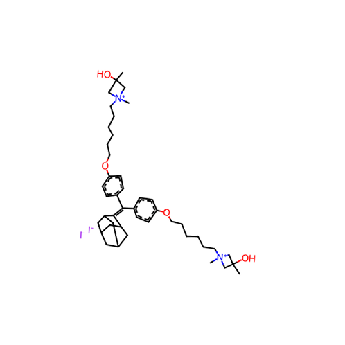 CC1(O)C[N+](C)(CCCCCCOc2ccc(C(=C3C4CC5CC(C4)CC3C5)c3ccc(OCCCCCC[N+]4(C)CC(C)(O)C4)cc3)cc2)C1.[I-].[I-]